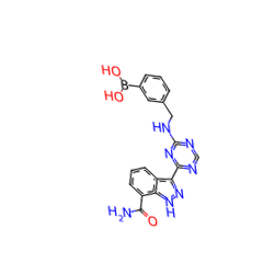 NC(=O)c1cccc2c(-c3ncnc(NCc4cccc(B(O)O)c4)n3)n[nH]c12